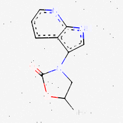 CCCCCCC1CN(c2c[nH]c3ncccc23)C(=O)O1